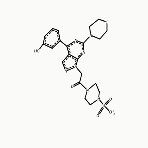 CS(=O)(=O)N1CCN(C(=O)Cn2ncc3c(-c4cccc(O)c4)nc(N4CCOCC4)nc32)CC1